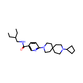 CCC(CC)CNC(=O)c1ccc(N2CCC3(CC2)CCN(C2CCC2)CC3)nc1